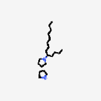 C1CCNC1.CCCCCCCCC(CCCC)N1CCCC1